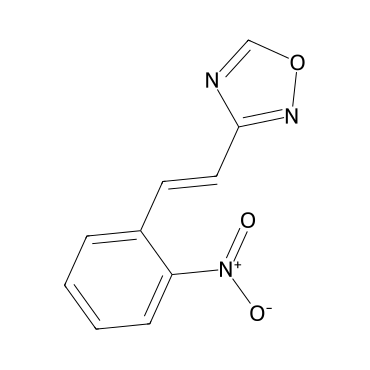 O=[N+]([O-])c1ccccc1C=Cc1ncon1